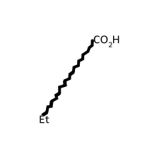 CCC=CCC=CCC=CCC=CCC=CCCCCCCCCCC(=O)O